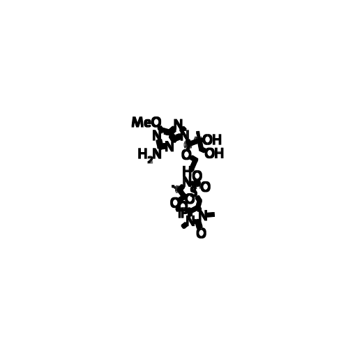 COc1nc(N)nc2c1ncn2[C@H](OCCOP(=O)(N[C@@H](C)C(=O)OC(C)C)SCC1C(=O)N(C)C(=O)N1C)[C@](C)(O)CO